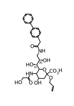 C=CCOC1(C(=O)O)CC(O)C(NC(=O)CO)C([C@@H](O)[C@H](O)CNC(=O)Cc2ccc(-c3ccccc3)cc2)O1